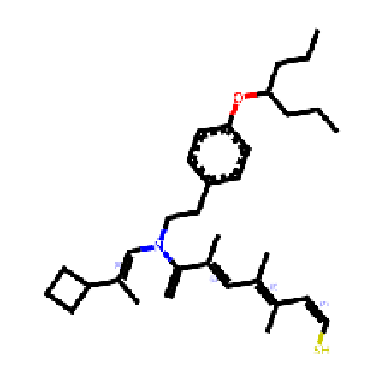 C=C(/C(C)=C/C(C)=C(C)/C=C\S)N(/C=C(\C)C1CCC1)CCc1ccc(OC(CCC)CCC)cc1